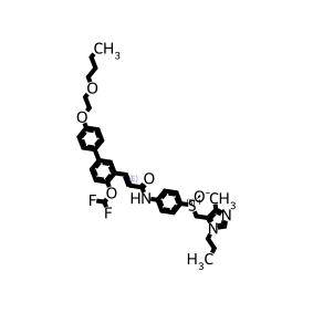 CCCCOCCOc1ccc(-c2ccc(OC(F)F)c(/C=C/C(=O)Nc3ccc([S@+]([O-])Cc4c(C)ncn4CCC)cc3)c2)cc1